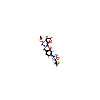 COCCN(Cc1ccc(-c2noc(C(F)(F)F)n2)cc1)C(=O)C1CCCO1